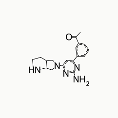 CC(=O)c1cccc(-c2cc(N3CC4CCCNC4C3)nc(N)n2)c1